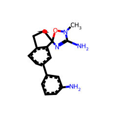 CN1OC2(N=C1N)c1cc(-c3cccc(N)c3)ccc1CC21CCCC1